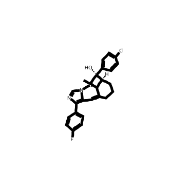 CC1[C@]23Cn4cnc(-c5ccc(F)cc5)c4C=C2CCC[C@@H]3[C@]1(O)c1ccc(Cl)cc1